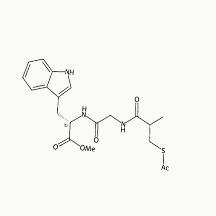 COC(=O)[C@H](Cc1c[nH]c2ccccc12)NC(=O)CNC(=O)C(C)CSC(C)=O